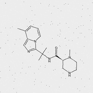 Cc1cccn2c(C(C)(C)NC(=O)[C@@H]3CNCCN3C)ncc12